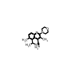 Cc1ccc2nc(N3CCOCC3)c(C)c(C#N)c2c1C(C)N